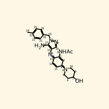 CC(=O)NC1=CC(=[N+]2CCC(O)CC2)C=C/C1=N/c1cnn(Cc2ccc(C)cc2)c1N